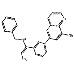 C/C=C(/NCc1ccccc1)c1cccc(-c2cc(O)c3ncccc3c2)c1